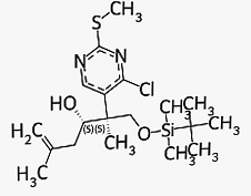 C=C(C)C[C@H](O)[C@](C)(CO[Si](C)(C)C(C)(C)C)c1cnc(SC)nc1Cl